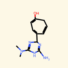 CN(C)C1=NC(C2=CC=C(O)CC=C2)N=C(N)N1